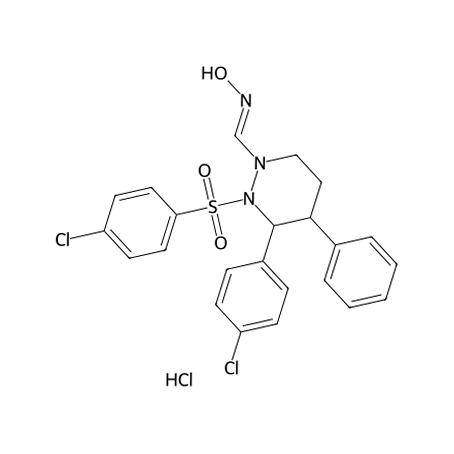 Cl.O=S(=O)(c1ccc(Cl)cc1)N1C(c2ccc(Cl)cc2)C(c2ccccc2)CCN1C=NO